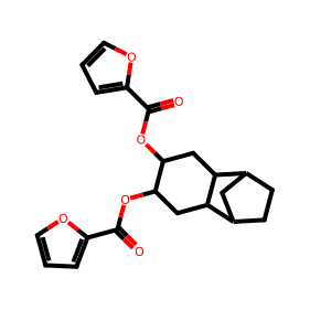 O=C(OC1CC2C3CCC(C3)C2CC1OC(=O)c1ccco1)c1ccco1